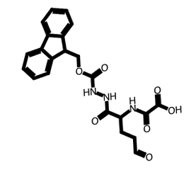 O=CCCC(NC(=O)C(=O)O)C(=O)NNC(=O)OCC1c2ccccc2-c2ccccc21